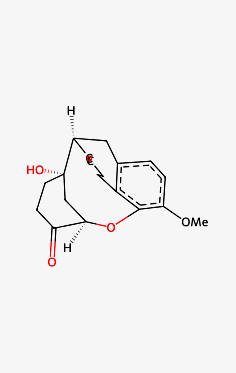 COc1ccc2c3c1O[C@@H]1C[C@@](O)(CCC1=O)[C@H](CCCC3)C2